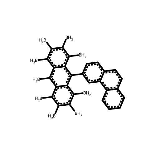 Bc1c(B)c(B)c2c(-c3ccc4ccc5ccccc5c4c3)c3c(B)c(B)c(B)c(B)c3c(B)c2c1B